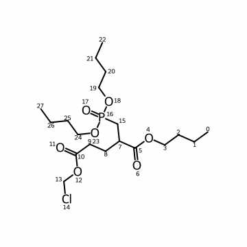 CCCCOC(=O)C(CCC(=O)OCCl)CP(=O)(OCCCC)OCCCC